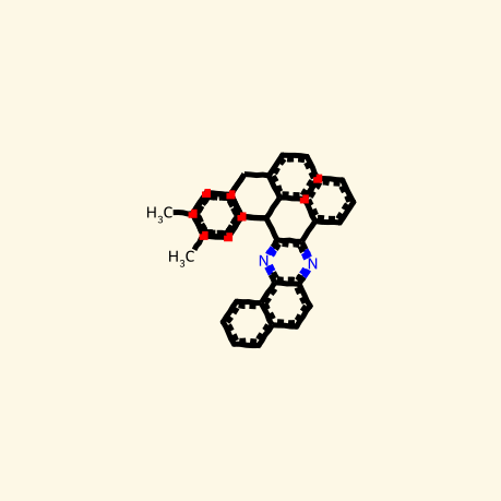 Cc1cc2c(cc1C)C1(c3nc4c(ccc5ccccc54)nc3-c3ccccc3)c3ccccc3C2c2ccccc21